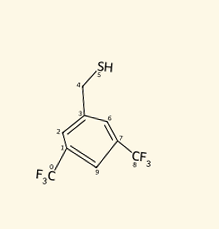 FC(F)(F)c1cc(CS)cc(C(F)(F)F)c1